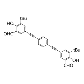 CC(C)(C)c1cc(C#Cc2ccc(C#Cc3cc(C=O)c(O)c(C(C)(C)C)c3)cc2)cc(C=O)c1O